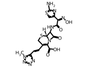 Cn1nnnc1/C=C/C1=C(C(=O)O)N2C(=O)C(NC(=O)/C(=N\O)c3csc(N)n3)[C@H]2SC1